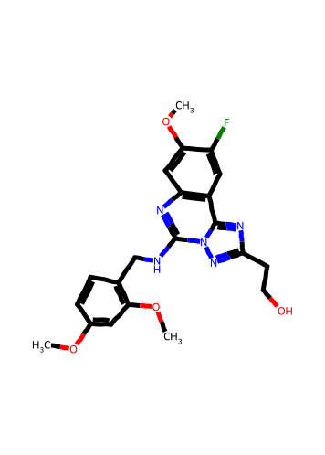 COc1ccc(CNc2nc3cc(OC)c(F)cc3c3nc(CCO)nn23)c(OC)c1